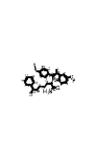 COc1ccc2c(c1)c(C)c(-c1ccc(SC)cc1)n2C(CCCCC(C)c1ccccc1)C(N)=O